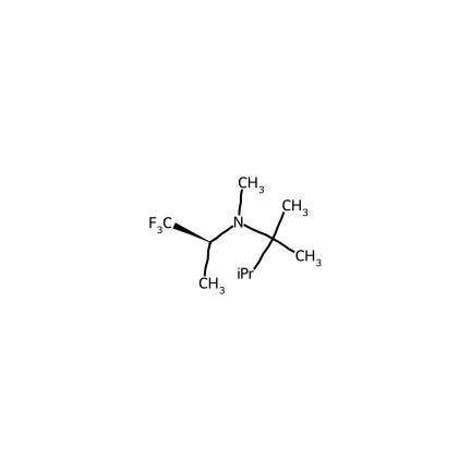 CC(C)C(C)(C)N(C)[C@@H](C)C(F)(F)F